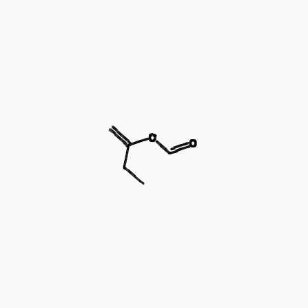 C=C(CC)OC=O